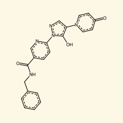 O=C(NCc1ccccc1)c1ccc(-n2ncc(-n3ccc(=O)cc3)c2O)nc1